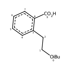 CC(C)COCCc1ccccc1C(=O)O